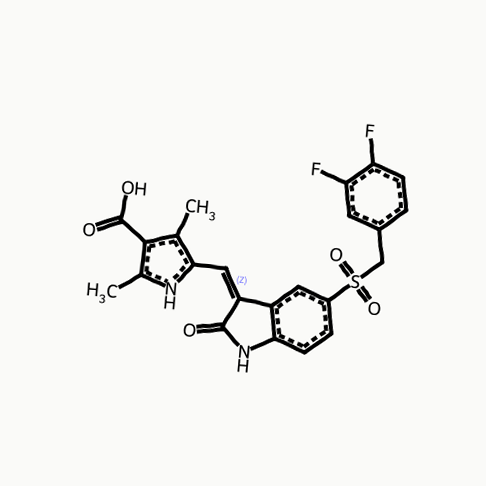 Cc1[nH]c(/C=C2\C(=O)Nc3ccc(S(=O)(=O)Cc4ccc(F)c(F)c4)cc32)c(C)c1C(=O)O